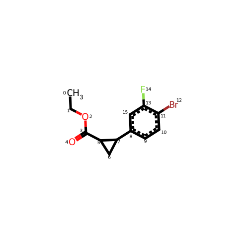 CCOC(=O)C1CC1c1ccc(Br)c(F)c1